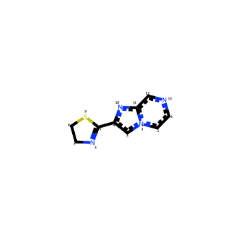 c1cn2cc(C3=NCCS3)nc2cn1